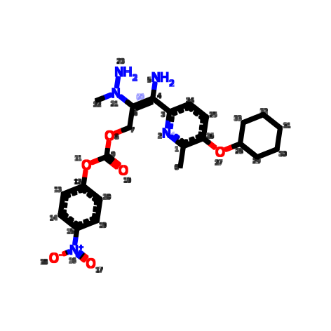 Cc1nc(/C(N)=C(\COC(=O)Oc2ccc([N+](=O)[O-])cc2)N(C)N)ccc1OC1CCCCC1